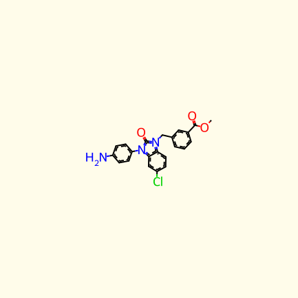 COC(=O)c1cccc(Cn2c(=O)n(-c3ccc(N)cc3)c3cc(Cl)ccc32)c1